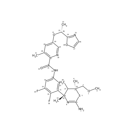 COC[C@@]1(C)SC(N)=N[C@](C)(c2cc(NC(=O)c3ncc(O[C@H](C)c4ncco4)cc3C)cc(F)c2F)C1C